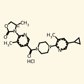 Cc1cc(C2CC2)cnc1N1CCN(C(=O)c2cnc(N3C(=O)OC[C@H]3C)c(C)c2)CC1.Cl